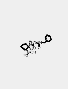 CC[C@]1(NC(=O)NC(=O)NCc2ccccc2)C=CC=CC1B(O)O